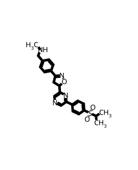 CNCc1ccc(C2=NOC(c3cncc(-c4ccc(S(=O)(=O)C(C)C)cc4)n3)C2)cc1